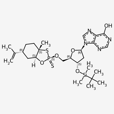 C=C(C)[C@@H]1CC[C@]2(C)S[P@@](=S)(OC[C@H]3O[C@@H](n4cnc5c(O)ncnc54)C[C@@H]3O[Si](C)(C)C(C)(C)C)O[C@H]2C1